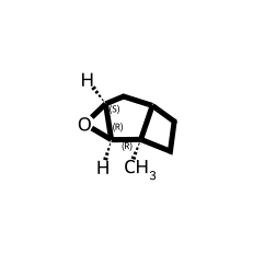 C[C@@]12CCC1C[C@@H]1O[C@@H]12